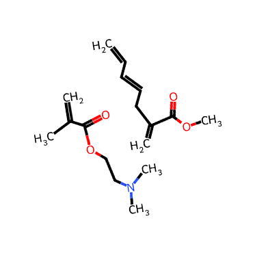 C=C(C)C(=O)OCCN(C)C.C=CC=CCC(=C)C(=O)OC